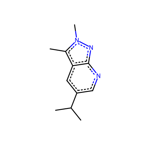 Cc1c2cc(C(C)C)cnc2nn1C